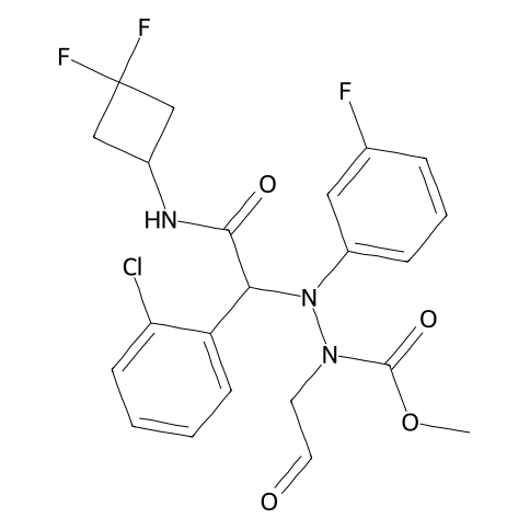 COC(=O)N(CC=O)N(c1cccc(F)c1)C(C(=O)NC1CC(F)(F)C1)c1ccccc1Cl